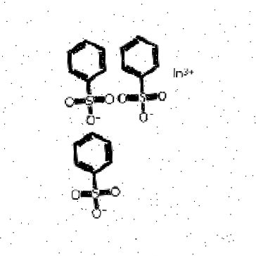 O=S(=O)([O-])c1ccccc1.O=S(=O)([O-])c1ccccc1.O=S(=O)([O-])c1ccccc1.[In+3]